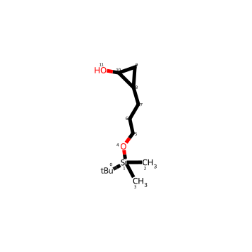 CC(C)(C)[Si](C)(C)OCCCC1CC1O